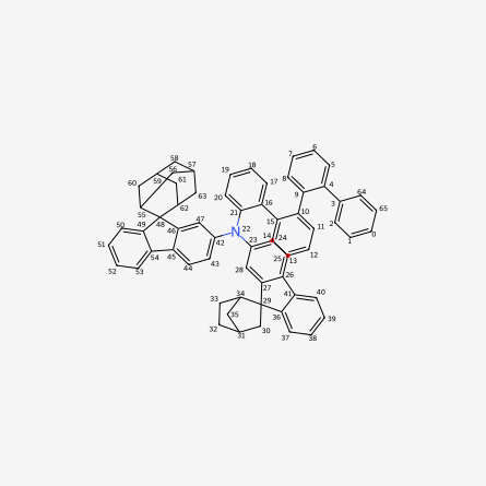 c1ccc(-c2ccccc2-c2ccccc2-c2ccccc2N(c2ccc3c(c2)C2(CC4CCC2C4)c2ccccc2-3)c2ccc3c(c2)C2(c4ccccc4-3)C3CC4CC(C3)CC2C4)cc1